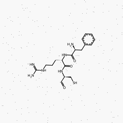 N=C(N)NCCC[C@H](NC(=O)[C@@H](N)Cc1ccccc1)C(=O)N[C@H]([C]=O)CS